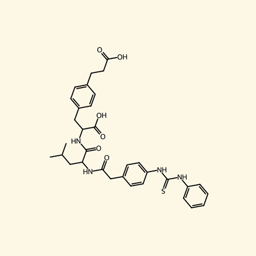 CC(C)CC(NC(=O)Cc1ccc(NC(=S)Nc2ccccc2)cc1)C(=O)NC(Cc1ccc(CCC(=O)O)cc1)C(=O)O